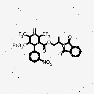 CCOC(=O)C1=C(C(F)(F)F)NC(C(F)(F)F)=C(C(=O)OCC(C)N2C(=O)c3ccccc3C2=O)C1c1cccc([N+](=O)[O-])c1